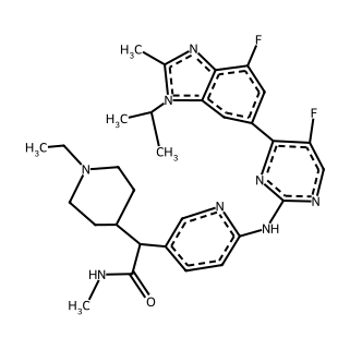 CCN1CCC(C(C(=O)NC)c2ccc(Nc3ncc(F)c(-c4cc(F)c5nc(C)n(C(C)C)c5c4)n3)nc2)CC1